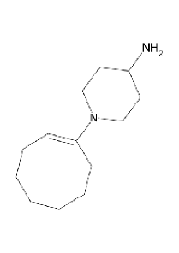 NC1CCN(C2=CCCCCCC2)CC1